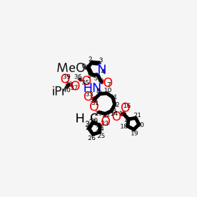 COc1ccnc(C(=O)N[C@H]2CCC[C@H](OC(=O)C3CCCC3)[C@@H](OC3CCCC3)[C@H](C)OC2=O)c1OCOC(=O)C(C)C